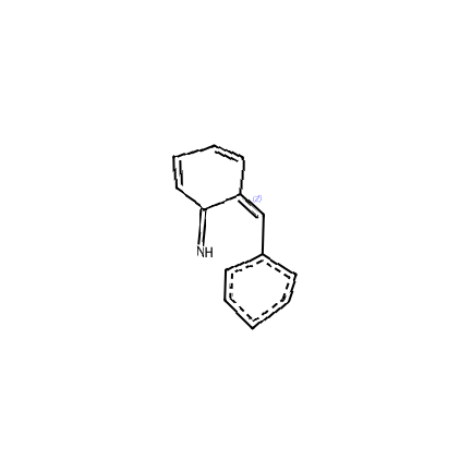 N=C1C=CC=C/C1=C/c1ccccc1